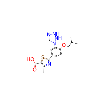 Cc1nc(-c2ccc(OCC(C)C)c(N3C=NNN3)c2)sc1C(=O)O